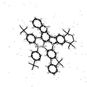 CC(C)(C)c1ccc(Nc2ccc(C(C)(C)C)cc2-c2c3c4c(c5cc6c(cc5n4-c4cc5c(cc4B3)-c3ccccc3C5(C)C)C(C)(C)CCC6(C)C)c3oc4ccccc4c23)cc1